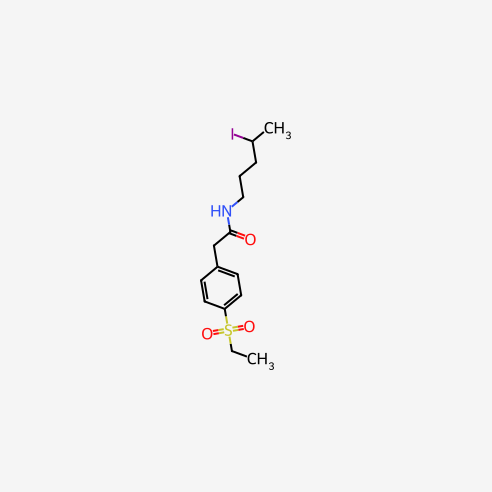 CCS(=O)(=O)c1ccc(CC(=O)NCCCC(C)I)cc1